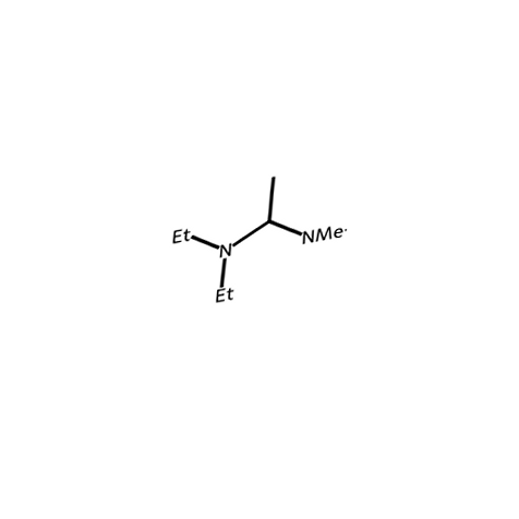 CCN(CC)C(C)[N]C